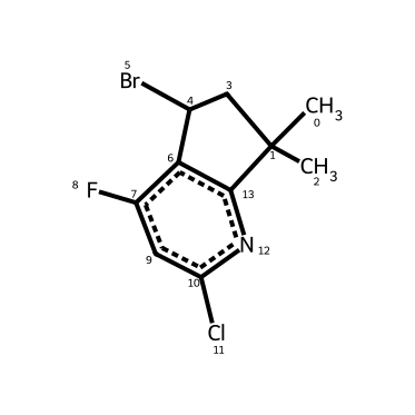 CC1(C)CC(Br)c2c(F)cc(Cl)nc21